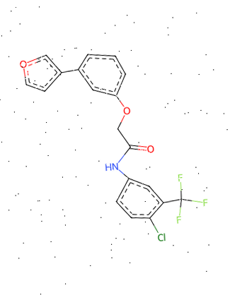 O=C(COc1cccc(-c2ccoc2)c1)Nc1ccc(Cl)c(C(F)(F)F)c1